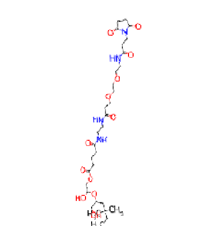 CCC(C)(C)CC(CO)OC(O)COC(=O)CCCC(=O)NCCNC(=O)CCOCCOCCNC(=O)CCN1C(=O)C=CC1=O